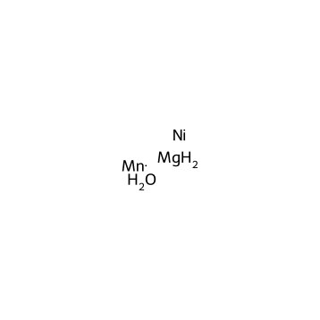 O.[MgH2].[Mn].[Ni]